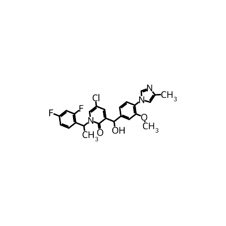 COc1cc(C(O)c2cc(Cl)cn(C(C)c3ccc(F)cc3F)c2=O)ccc1-n1cnc(C)c1